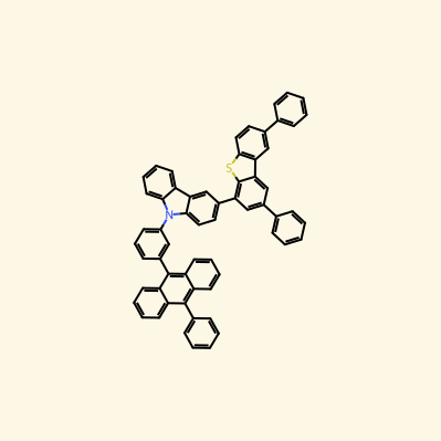 c1ccc(-c2ccc3sc4c(-c5ccc6c(c5)c5ccccc5n6-c5cccc(-c6c7ccccc7c(-c7ccccc7)c7ccccc67)c5)cc(-c5ccccc5)cc4c3c2)cc1